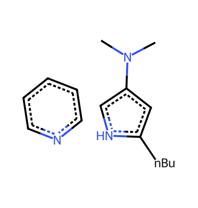 CCCCc1cc(N(C)C)c[nH]1.c1ccncc1